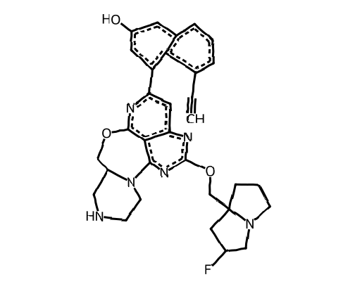 C#Cc1cccc2cc(O)cc(-c3cc4nc(OCC56CCCN5CC(F)C6)nc5c4c(n3)OCC3CNCCN53)c12